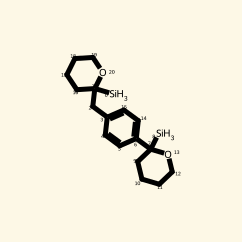 [SiH3]C1(Cc2ccc(C3([SiH3])CCCCO3)cc2)CCCCO1